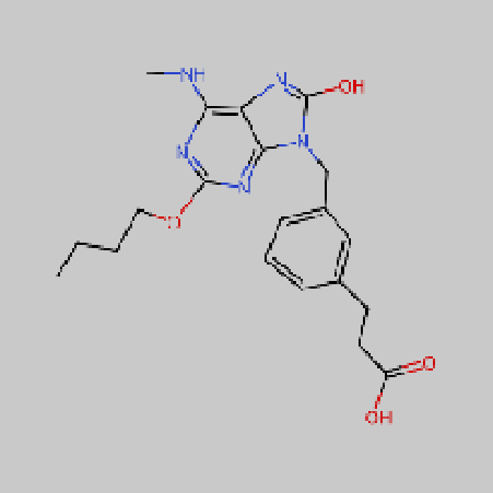 CCCCOc1nc(NC)c2nc(O)n(Cc3cccc(CCC(=O)O)c3)c2n1